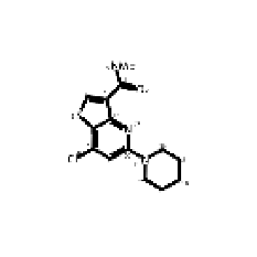 CNC(=O)c1csc2c(Cl)cc(N3CC[CH]CC3)nc12